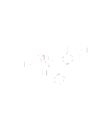 CC(C)C(=O)N1CC[C@@]2(Cc3ccc(F)cc3)c3ccc(C(C)(F)C(F)(F)F)cc3CC[C@@H]12